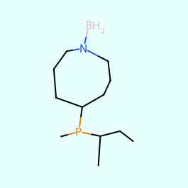 BN1CCCC(P(C)C(C)CC)CCC1